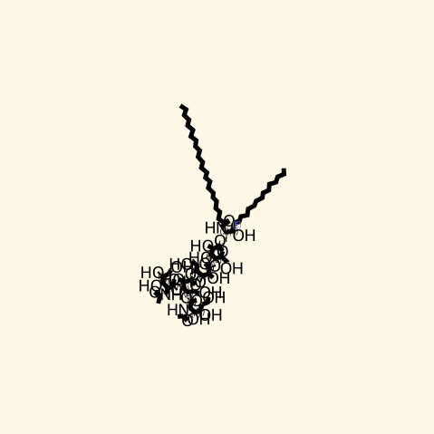 CCCCCCCCCCCCC/C=C/[C@@H](O)[C@H](CO[C@@H]1OC(CO)[C@@H](O[C@@H]2OC(CO)[C@H](O[C@@H]3OC(CO)[C@H](O[C@@H]4OC(CO)[C@H](O)[C@H](O)C4NC(C)=O)[C@H](O[C@@H]4OC(CO)[C@H](O)[C@H](O)C4NC(C)=O)C3O)[C@H](O)C2O)[C@H](O)C1O)NC(=O)CCCCCCCCCCCCCCCCCCCCCCC